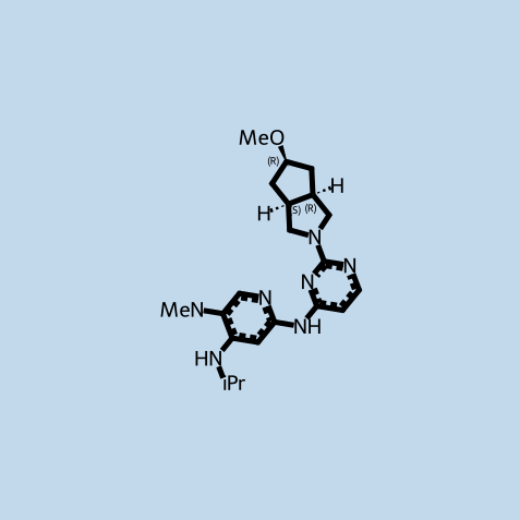 CNc1cnc(Nc2ccnc(N3C[C@H]4C[C@@H](OC)C[C@H]4C3)n2)cc1NC(C)C